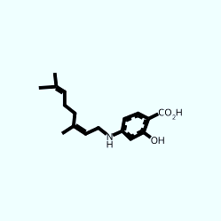 CC(C)=CCCC(C)=CCNc1ccc(C(=O)O)c(O)c1